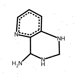 NC1NCNc2cccnc21